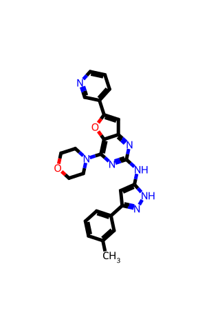 Cc1cccc(-c2cc(Nc3nc(N4CCOCC4)c4oc(-c5cccnc5)cc4n3)[nH]n2)c1